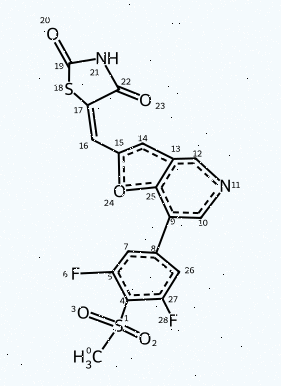 CS(=O)(=O)c1c(F)cc(-c2cncc3cc(C=C4SC(=O)NC4=O)oc23)cc1F